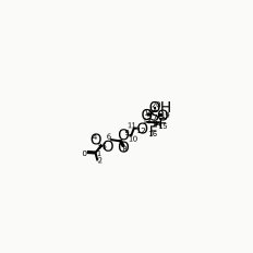 C=C(C)C(=O)OCC(=O)OCCOCC(F)(F)S(=O)(=O)O